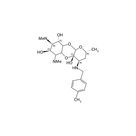 CNC1C2O[C@]3(O)C(OC2[C@@H](O)[C@H](NC)[C@@H]1O)O[C@H](C)C[C@H]3NCc1ccc(C)cc1